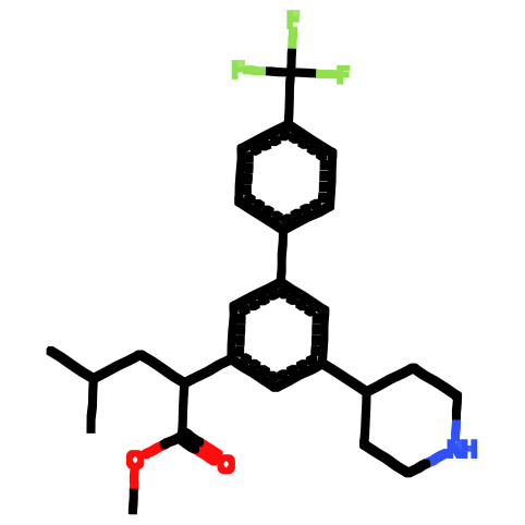 COC(=O)C(CC(C)C)c1cc(-c2ccc(C(F)(F)F)cc2)cc(C2CCNCC2)c1